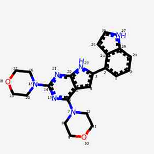 c1cc(-c2cc3c(N4CCOCC4)nc(N4CCOCC4)nc3[nH]2)c2cc[nH]c2c1